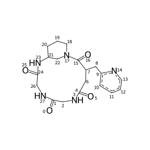 O=C1CNC(=O)CC(Cc2ccccn2)C(=O)N2CCCC(C2)NC(=O)CN1